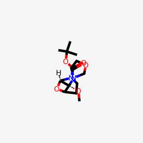 CO[C@]1(N2CCOC2)C2CCN(C(=O)OC(C)(C)C)[C@@H]1O2